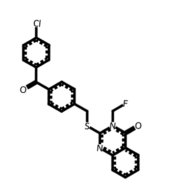 O=C(c1ccc(Cl)cc1)c1ccc(CSc2nc3ccccc3c(=O)n2CF)cc1